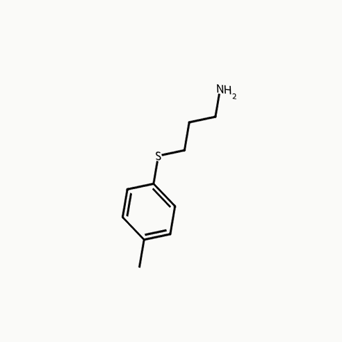 Cc1ccc(SCCCN)cc1